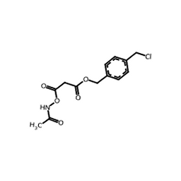 CC(=O)NOC(=O)CC(=O)OCc1ccc(CCl)cc1